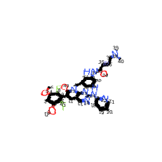 COc1cc(OC)c(F)c(-c2cc3cnc(Nc4ccccn4)nc3n(Cc3cccc(NC(=O)/C=C/CN(C)C)c3)c2=O)c1F